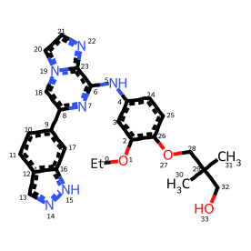 CCOc1cc(Nc2nc(-c3ccc4cn[nH]c4c3)cn3ccnc23)ccc1OCC(C)(C)CO